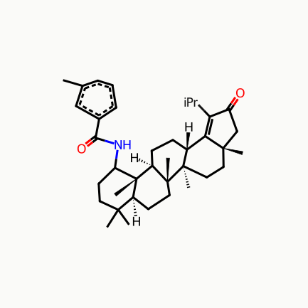 Cc1cccc(C(=O)NC2CCC(C)(C)[C@@H]3CC[C@]4(C)[C@H](CC[C@@H]5C6=C(C(C)C)C(=O)C[C@]6(C)CC[C@]54C)[C@@]23C)c1